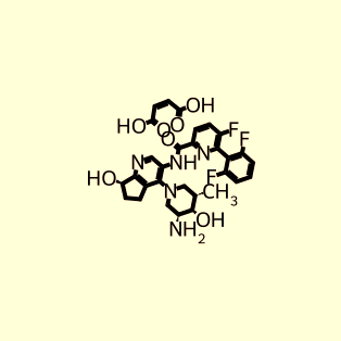 C[C@H]1CN(c2c(NC(=O)c3ccc(F)c(-c4c(F)cccc4F)n3)cnc3c2CC[C@H]3O)C[C@@H](N)[C@@H]1O.O=C(O)/C=C\C(=O)O